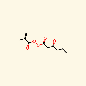 C=C(C)C(=O)OOC(=O)CC(=O)CCC